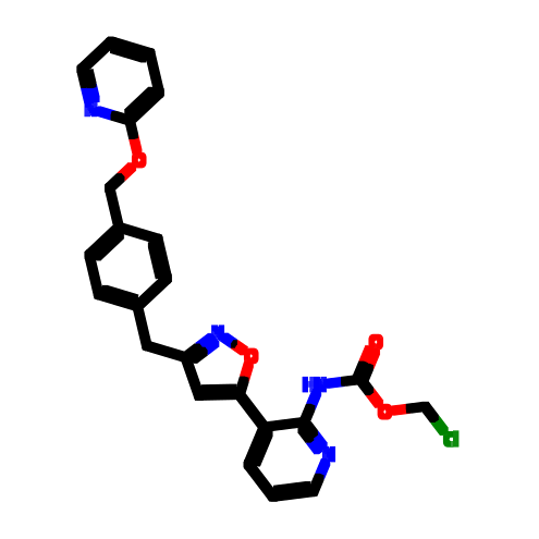 O=C(Nc1ncccc1-c1cc(Cc2ccc(COc3ccccn3)cc2)no1)OCCl